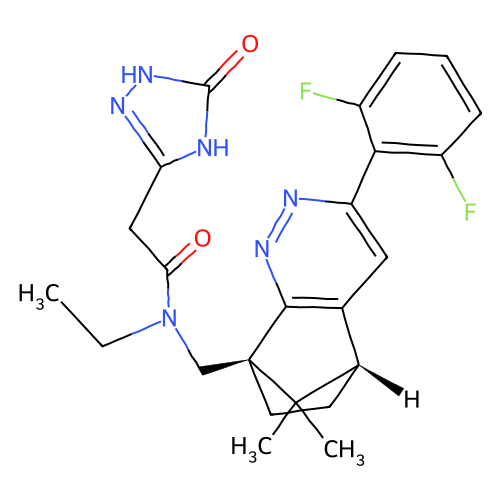 CCN(C[C@@]12CC[C@@H](c3cc(-c4c(F)cccc4F)nnc31)C2(C)C)C(=O)Cc1n[nH]c(=O)[nH]1